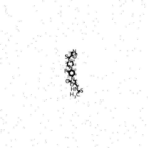 CC(=S)NCC1CN(c2ccc(N3CCN(C(=S)c4cnco4)CC3)c(F)c2)C(=O)O1